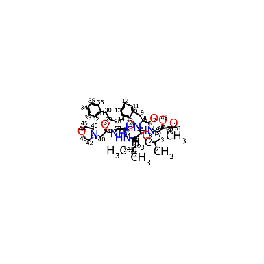 CC(C)C[C@H](NC(=O)[C@H](Cc1ccccc1)NC(=O)[C@@H](CC(C)C)NC(=O)[C@@H](CCCc1ccccc1)NC(=O)CN1CCOCC1)C(=O)[C@]1(C)CO1